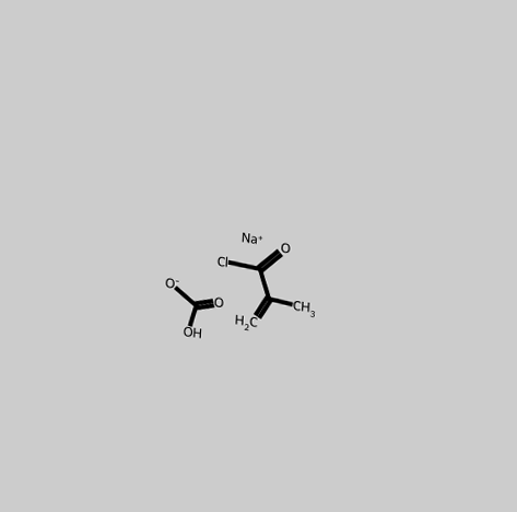 C=C(C)C(=O)Cl.O=C([O-])O.[Na+]